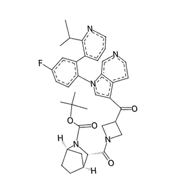 CC(C)c1ncccc1-c1cc(F)ccc1-n1cc(C(=O)C2CN(C(=O)[C@@H]3[C@H]4CC[C@H](C4)N3C(=O)OC(C)(C)C)C2)c2ccncc21